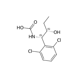 CC[C@H](O)[C@@H](NC(=O)O)c1c(Cl)cccc1Cl